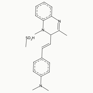 CC1=Nc2ccccc2N(C)C1C=Cc1ccc(N(C)C)cc1.CS(=O)(=O)O